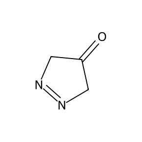 O=C1CN=NC1